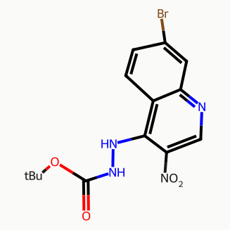 CC(C)(C)OC(=O)NNc1c([N+](=O)[O-])cnc2cc(Br)ccc12